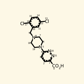 O=C(O)c1ccc(N2CCN(Cc3cc(Cl)ccc3Cl)CC2)nn1